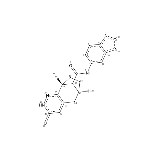 O=C(Nc1ccc2nsnc2c1)C1[C@H]2CC[C@H]1c1n[nH]c(=O)cc1C2